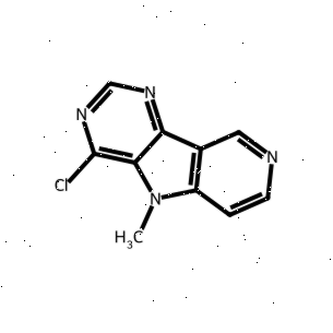 Cn1c2ccncc2c2ncnc(Cl)c21